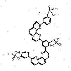 O=P(O)(O)Oc1cccc(-c2ccc3ccc4ccc(-c5cc(OP(=O)(O)O)cc(-c6ccc7ccc8ccc(-c9cccc(OP(=O)(O)O)c9)nc8c7n6)c5)nc4c3n2)c1